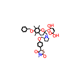 Cc1c(C)c2c(c(C)c1OCc1ccccc1)CCC(C)(CN1CCC[C@H]1COc1ccc(C3SC(=O)N(C)C3=O)cc1)O2.O=C(O)/C=C\C(=O)O